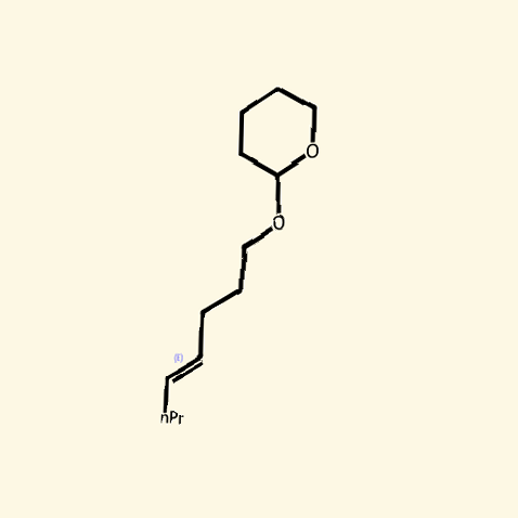 CCC/C=C/CCCOC1CCCCO1